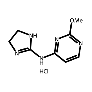 COc1nccc(NC2=NCCN2)n1.Cl